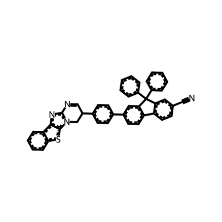 N#Cc1ccc2c(c1)C(c1ccccc1)(c1ccccc1)c1cc(-c3ccc(C4C=Nc5nc6c7ccccc7sc6n5C4)cc3)ccc1-2